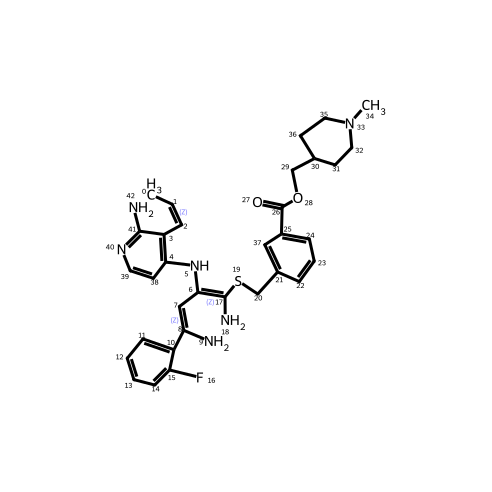 C/C=C\c1c(NC(/C=C(\N)c2ccccc2F)=C(/N)SCc2cccc(C(=O)OCC3CCN(C)CC3)c2)ccnc1N